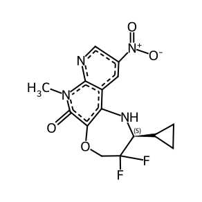 Cn1c(=O)c2c(c3cc([N+](=O)[O-])cnc31)N[C@@H](C1CC1)C(F)(F)CO2